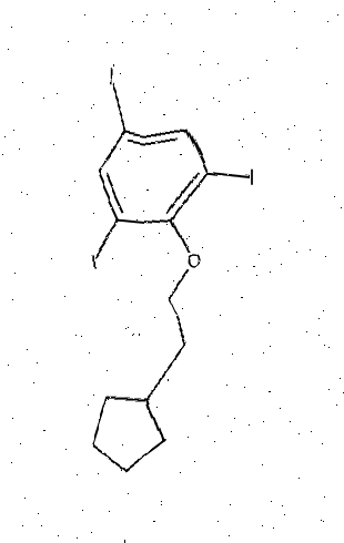 Ic1cc(I)c(OCCC2CCCC2)c(I)c1